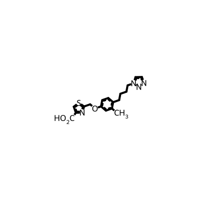 Cc1cc(OCc2nc(C(=O)O)cs2)ccc1CCCCn1ccnn1